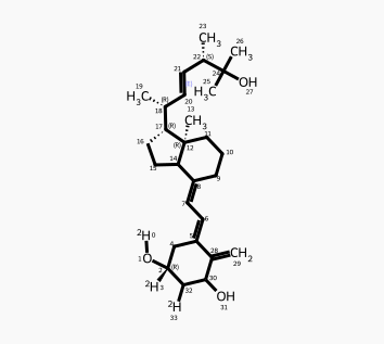 [2H]O[C@]1([2H])CC(=CC=C2CCC[C@@]3(C)C2CC[C@@H]3[C@H](C)/C=C/[C@H](C)C(C)(C)O)C(=C)C(O)C1[2H]